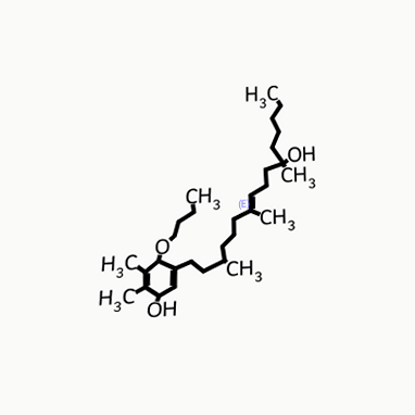 CCCCCC(C)(O)CC/C=C(\C)CCCC(C)CCC1=CC(O)C(C)=C(C)C1OCCCC